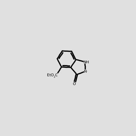 CCOC(=O)c1cccc2c1C(=O)[N]N2